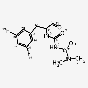 CN(C)[S+]([O-])NC(=O)NC(C=O)Cc1cc(F)cc(F)c1